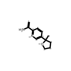 C=C(N)c1ccc(C2(C)CCCO2)cn1